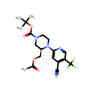 CC(=O)OC[C@H]1CN(C(=O)OC(C)(C)C)CCN1c1cc(C#N)c(C(F)(F)F)cn1